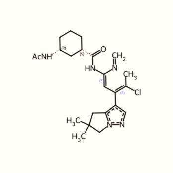 C=N/C(=C\C(=C(/C)Cl)c1cnn2c1CC(C)(C)C2)NC(=O)[C@H]1CCC[C@@H](NC(C)=O)C1